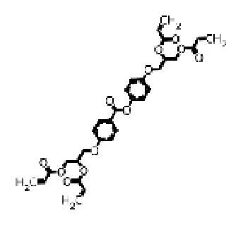 C=CC(=O)OCC(COc1ccc(OC(=O)c2ccc(OCC(COC(=O)C=C)OC(=O)C=C)cc2)cc1)OC(=O)C=C